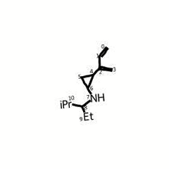 C=CC(=C)C1CC1NC(CC)C(C)C